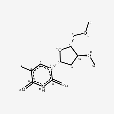 COC[C@H]1O[C@@H](n2cc(C)c(=O)[nH]c2=O)C[C@@H]1OC